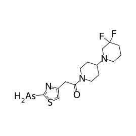 O=C(Cc1csc([AsH2])n1)N1CCC(N2CCCC(F)(F)C2)CC1